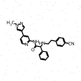 Cn1cc(-c2ccnc(NC(=O)C(NCCc3ccc(C#N)cc3)c3ccccc3)c2)cn1